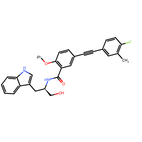 Cc1cc(C#Cc2ccc(OC(C)C)c(C(=O)N[C@@H](CO)Cc3c[nH]c4ccccc34)c2)ccc1F